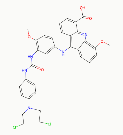 COc1ccc(Nc2c3cccc(OC)c3nc3c(C(=O)O)cccc23)cc1NC(=O)Nc1ccc(N(CCCl)CCCl)cc1